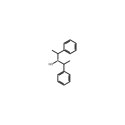 CC(c1ccccc1)N(O)C(C)c1ccccc1